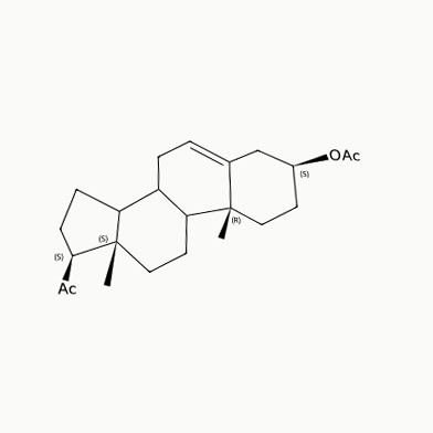 CC(=O)O[C@H]1CC[C@@]2(C)C(=CCC3C2CC[C@@]2(C)C3CC[C@@H]2C(C)=O)C1